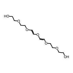 OCCOCCOC=COC=COCCOCCO